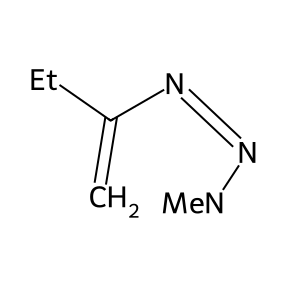 C=C(CC)/N=N\NC